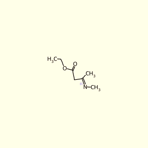 CCOC(=O)C/C(C)=N/C